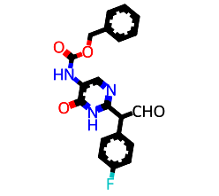 O=CC(c1ccc(F)cc1)c1ncc(NC(=O)OCc2ccccc2)c(=O)[nH]1